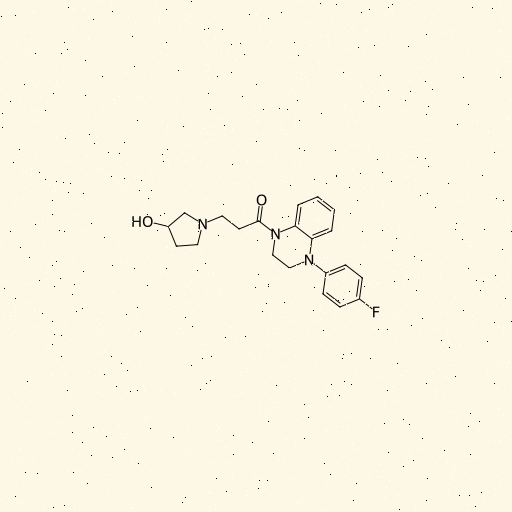 O=C(CCN1CCC(O)C1)N1CCN(c2ccc(F)cc2)c2ccccc21